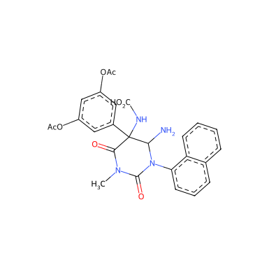 CC(=O)Oc1cc(OC(C)=O)cc(C2(NC(=O)O)C(=O)N(C)C(=O)N(c3cccc4ccccc34)C2N)c1